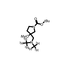 [2H]C([2H])([2H])N(CC1(OC)CCN(C(=O)OC(C)(C)C)C1)C([2H])([2H])[2H]